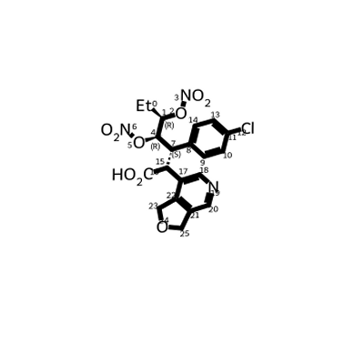 CC[C@@H](O[N+](=O)[O-])[C@H](O[N+](=O)[O-])[C@H](c1ccc(Cl)cc1)C(C(=O)O)c1cncc2c1COC2